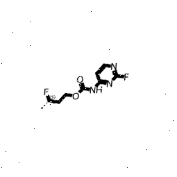 C[C@H](F)CCOC(=O)Nc1ccnc(F)n1